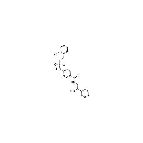 O=C(NCC(O)c1ccccc1)c1ccc(NS(=O)(=O)CCc2ccccc2Cl)cc1